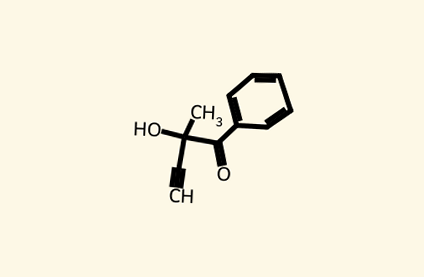 C#CC(C)(O)C(=O)c1ccccc1